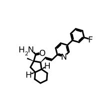 C[C@]1(C(N)=O)C[C@H]2CCCC[C@H]2[C@@H]1C=Cc1ccc(-c2cccc(F)c2)cn1